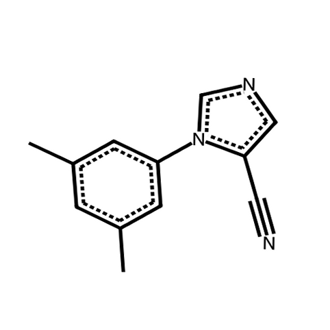 Cc1cc(C)cc(-n2cncc2C#N)c1